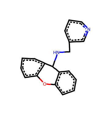 c1cncc(CNC2c3ccccc3Oc3ccccc32)c1